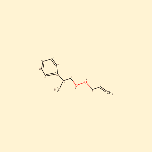 C=CCOOCC(C)c1ccccc1